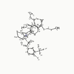 COc1ccc(CCCO)cc1C(=O)NC1C(C(=O)Nc2ccc(F)c(C(F)(F)F)c2)[C@H]2CC[C@@H]1/C2=C\C1CCCOC1